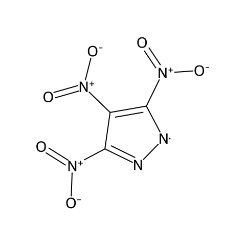 O=[N+]([O-])C1=N[N]C([N+](=O)[O-])=C1[N+](=O)[O-]